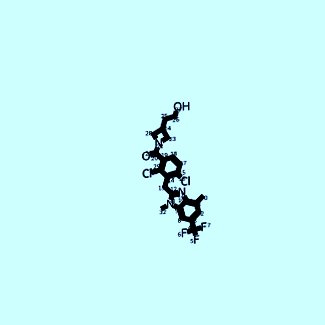 Cc1cc(C(F)(F)F)cc2c1nc(Cc1c(Cl)ccc(C(=O)N3CC(CCO)C3)c1Cl)n2C